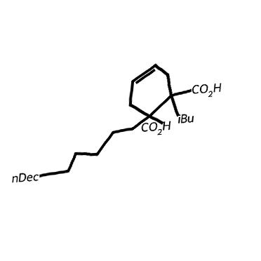 CCCCCCCCCCCCCCCC1(C(=O)O)CC=CCC1(C(=O)O)C(C)CC